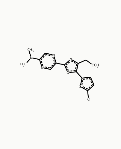 CN(C)c1cnc(-c2nc(CC(=O)O)c(-c3ccc(Cl)s3)o2)cn1